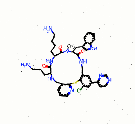 CN1C(=O)C(CCCCN)NC(=O)C(CCCN)NCc2cccnc2Sc2c(Cl)cc(-c3ccncn3)cc2CNC(=O)C1Cc1c[nH]c2ccccc12